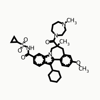 COc1ccc2c(c1)CC(C)(C(=O)N1CCCN(C)CC1)Cn1c-2c(C2CCCCC2)c2ccc(C(=O)NS(=O)(=O)C3CC3)cc21